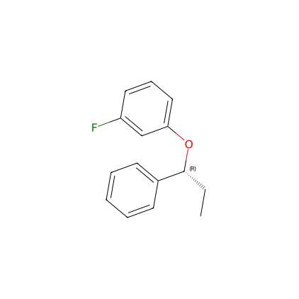 CC[C@@H](Oc1cccc(F)c1)c1ccccc1